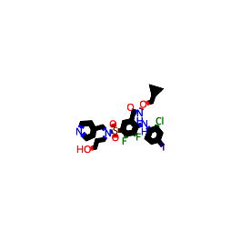 O=C(NOCC1CC1)c1cc(S(=O)(=O)N(CCCO)Cc2ccncc2)c(F)c(F)c1Nc1ccc(I)cc1Cl